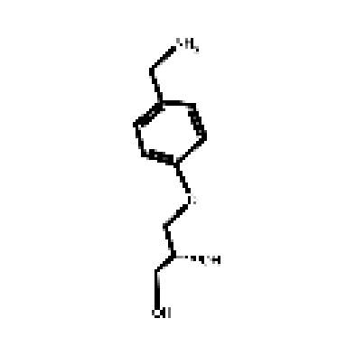 NCc1ccc(OC[C@H](O)CO)cc1